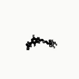 C[Si](C)(C)CCOCn1nc2c(F)cc(-c3nc(Br)cs3)c(F)c2n1